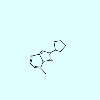 [S]C1=CC=NC2=CN(C3CCCC3)NN12